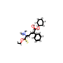 CCOC(=S)C(=CC=C(C(=O)OC1CCCCC1)c1ccccc1)N(C)C